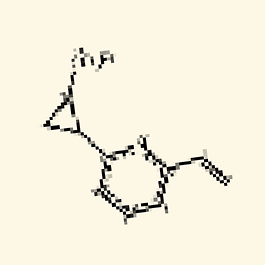 C=Cc1cccc(C2CC2C(=O)OCC)n1